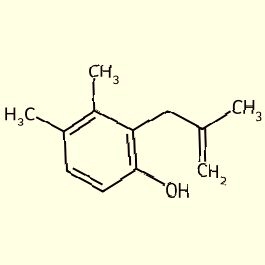 C=C(C)Cc1c(O)ccc(C)c1C